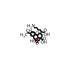 CC(C)c1ccc2c(c1)CC[C@H]1[C@@](CS(=O)(=O)O)(C(=O)O)CCC[C@]21C.NCCCCCC(=O)O